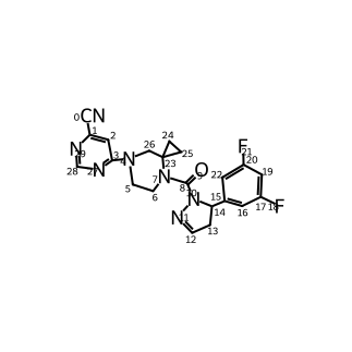 N#Cc1cc(N2CCN(C(=O)N3N=CCC3c3cc(F)cc(F)c3)C3(CC3)C2)ncn1